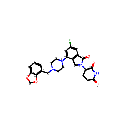 O=C1CCC(N2Cc3c(cc(F)cc3N3CCN(Cc4cccc5c4OCO5)CC3)C2=O)C(=O)N1